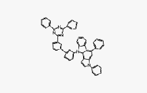 c1ccc(-c2nc(-c3ccccc3)nc(-c3cccc(-c4cccc(-n5c6ccccc6c6c(-c7ccccc7)cc7c(ccn7-c7ccccc7)c65)c4)c3)n2)cc1